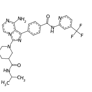 CC(C)NC(=O)C1CCCN(c2nc(-c3ccc(C(=O)Nc4cc(C(F)(F)F)ccn4)cc3)c3c(N)nccn23)C1